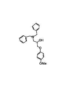 COc1ccc(OCC(O)CN(Cc2ccccc2)Cc2ccccc2)cc1